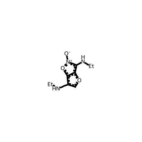 CCNc1coc2c(NCC)[n+]([O-])oc12